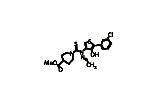 C/C=N/N(C(=S)N1CCC(C(=O)OC)CC1)c1csc(-c2cccc(Cl)c2)c1O